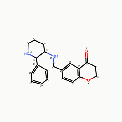 O=C1CCOc2ccc(CNC3CCCNC3c3ccccc3)cc21